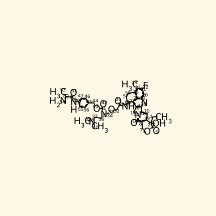 CC[C@@]1(O)C(=O)OCc2c1cc1n(c2=O)Cc2c-1nc1cc(F)c(C)c3c1c2[C@@H](NC(=O)COCN(CCN(C)C)C(=O)OCc1ccc(NC(=O)[C@H](C)N)cc1)CC3